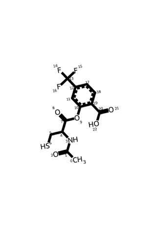 CC(=O)NC(CS)C(=O)Oc1cc(C(F)(F)F)ccc1C(=O)O